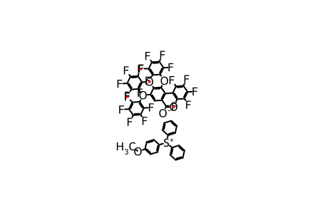 COc1ccc([S+](c2ccccc2)c2ccccc2)cc1.O=C([O-])c1cc(Oc2c(F)c(F)c(F)c(F)c2F)c(Oc2c(F)c(F)c(F)c(F)c2F)c(Oc2c(F)c(F)c(F)c(F)c2F)c1-c1c(F)c(F)c(F)c(F)c1F